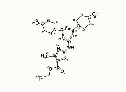 CCOC(=O)c1sc(Nc2nc(N3CCC(O)CC3)cc(N3CCC(O)CC3)n2)nc1C